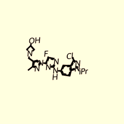 Cc1nn(-c2nc(Nc3ccc4c(c3)c(Cl)nn4C(C)C)ncc2F)cc1CN1CC(O)C1